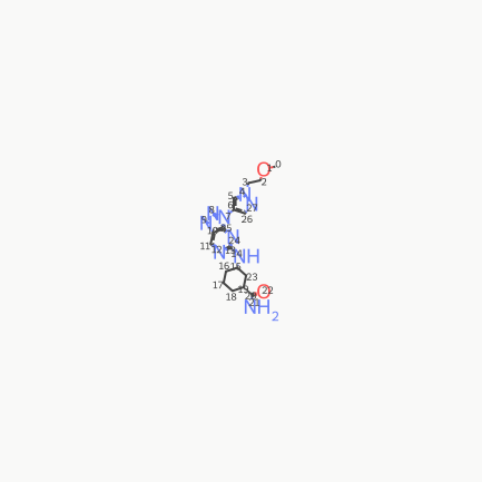 COCCn1cc(-n2nnc3cnc(N[C@H]4CCC[C@H](C(N)=O)C4)nc32)cn1